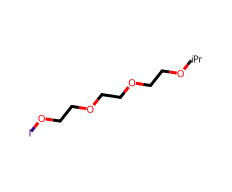 CC(C)OCCOCCOCCOI